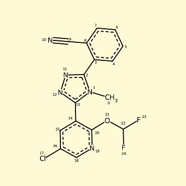 Cn1c(-c2ccccc2C#N)nnc1-c1cc(Cl)cnc1OC(F)F